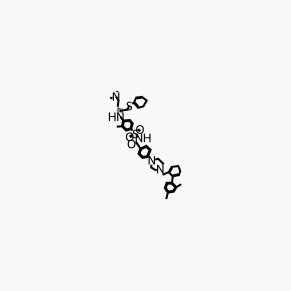 Cc1ccc(C2=CCCC=C2CN2CCN(c3ccc(C(=O)NS(=O)(=O)c4ccc(N[C@H](CCN(C)C)CSC5=CCCC=C5)c(C)c4)cc3)CC2)c(C)c1